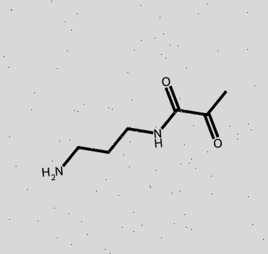 CC(=O)C(=O)NCCCN